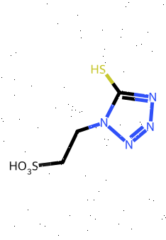 O=S(=O)(O)CCn1nnnc1S